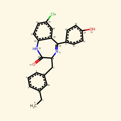 CCc1cccc(CC2N=C(c3ccc(O)cc3)c3cc(Cl)ccc3NC2=O)c1